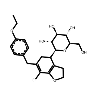 CCOc1ccc(CC2=C(Cl)C3=C(CCO3)C([C@@H]3O[C@H](CO)[C@@H](O)[C@H](O)[C@H]3O)C2)cc1